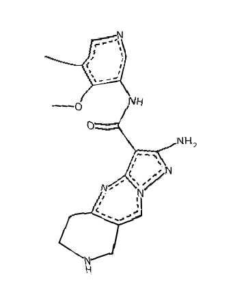 COc1c(C)cncc1NC(=O)c1c(N)nn2cc3c(nc12)CCNC3